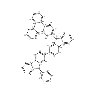 c1ccc(-n2c3ccccc3c3ccc(-c4ccc5c6ccccc6n(-c6cnc7c8ccccc8c8ccccc8c7n6)c5c4)cc32)cc1